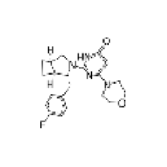 O=c1cc(N2CCOCC2)nc(N2C[C@@H]3CC[C@@H]3[C@H]2Cc2ccc(F)cc2)[nH]1